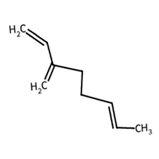 C=CC(=C)CCC=CC